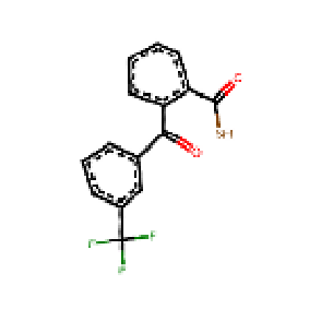 O=C(S)c1ccccc1C(=O)c1cccc(C(F)(F)F)c1